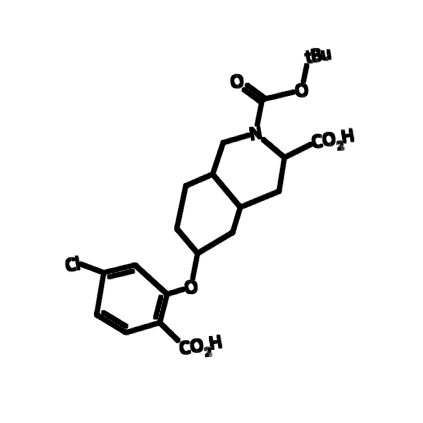 CC(C)(C)OC(=O)N1CC2CCC(Oc3cc(Cl)ccc3C(=O)O)CC2CC1C(=O)O